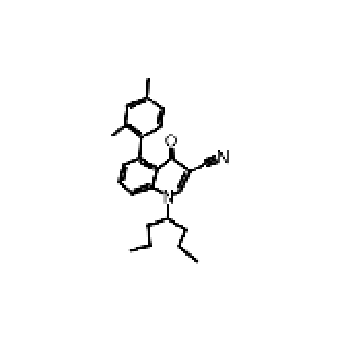 CCCC(CCC)n1cc(C#N)c(=O)c2c(-c3ccc(C)cc3C)cccc21